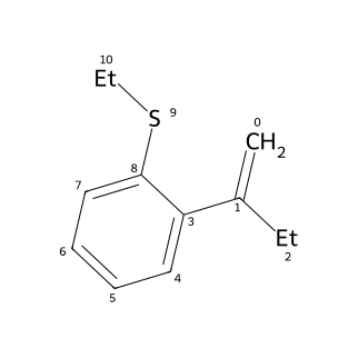 C=C(CC)c1ccccc1SCC